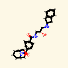 O=C(NC[C@@H](O)CNC1Cc2ccccc2C1)c1ccc(C(=O)N2C3CCCC2COC3)cc1